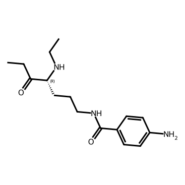 CCN[C@H](CCCNC(=O)c1ccc(N)cc1)C(=O)CC